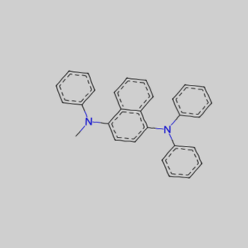 CN(c1ccccc1)c1ccc(N(c2ccccc2)c2ccccc2)c2ccccc12